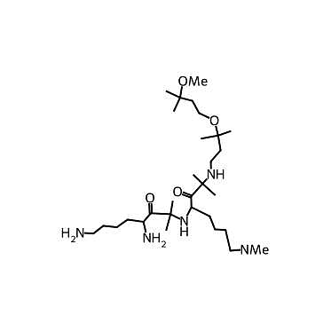 CNCCCCC(NC(C)(C)C(=O)C(N)CCCCN)C(=O)C(C)(C)NCCC(C)(C)OCCC(C)(C)OC